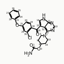 NC(=O)OC1CCN(c2ncnc3[nH]cc(C(=O)c4ccc(Oc5ccccc5)cc4Cl)c23)CC1